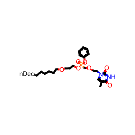 CCCCCCCCCCCCCCCCOCCCOP(=O)(COCCn1cc(C)c(=O)[nH]c1=O)Oc1ccccc1